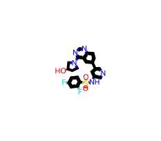 O=S(=O)(Nc1cncc(-c2ccc3ncnc(N4CC[C@@H](O)C4)c3c2)c1)c1ccc(F)cc1F